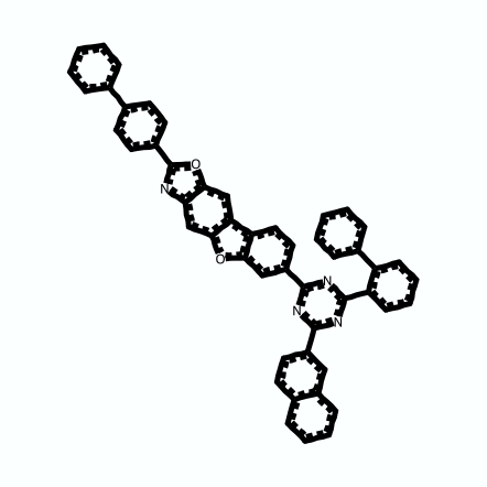 c1ccc(-c2ccc(-c3nc4cc5oc6cc(-c7nc(-c8ccc9ccccc9c8)nc(-c8ccccc8-c8ccccc8)n7)ccc6c5cc4o3)cc2)cc1